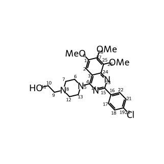 COc1cc2c(N3CCN(CCO)CC3)nc(-c3ccc(Cl)cc3)nc2c(OC)c1OC